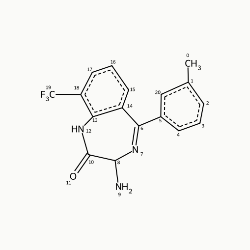 Cc1cccc(C2=NC(N)C(=O)Nc3c2cccc3C(F)(F)F)c1